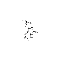 O=C1OC(C[N+](=O)[O-])c2ccccc21